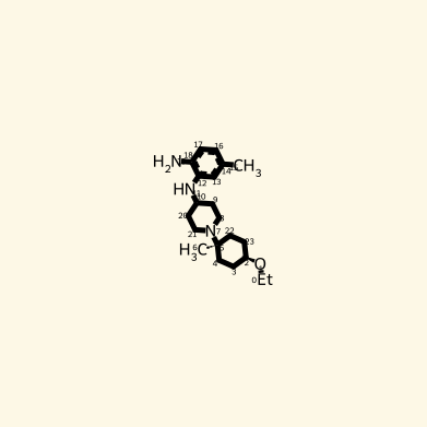 CCO[C@H]1CC[C@@](C)(N2CCC(Nc3cc(C)ccc3N)CC2)CC1